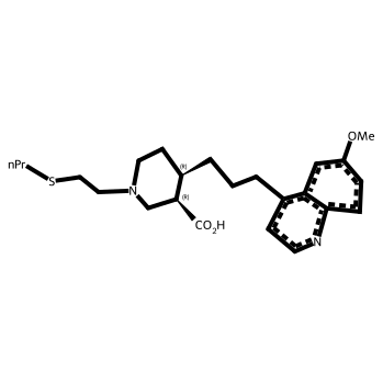 CCCSCCN1CC[C@@H](CCCc2ccnc3ccc(OC)cc23)[C@@H](C(=O)O)C1